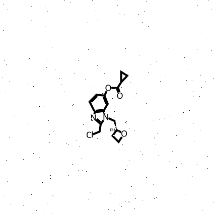 O=C(Oc1ccc2nc(CCl)n(C[C@@H]3CCO3)c2c1)C1CC1